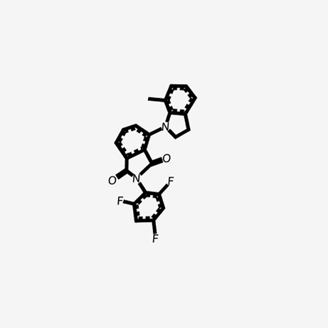 Cc1cccc2c1N(c1cccc3c1C(=O)N(c1c(F)cc(F)cc1F)C3=O)CC2